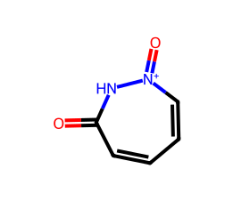 O=c1cccc[n+](=O)[nH]1